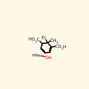 CCC1(C)C(C(=O)O)=CC=CC1C(=O)O.CCCCCCO